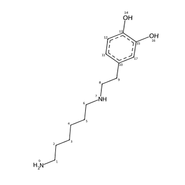 NCCCCCCNCCc1ccc(O)c(O)c1